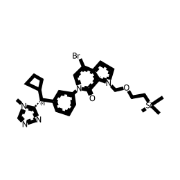 Cn1cnnc1[C@@H](c1cccc(-n2cc(Br)c3ccn(COCC[Si](C)(C)C)c3c2=O)c1)C1CCC1